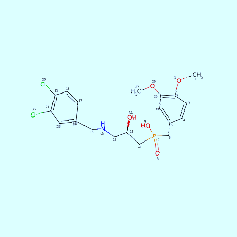 COc1ccc(CP(=O)(O)C[C@H](O)CNCc2ccc(Cl)c(Cl)c2)cc1OC